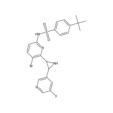 CC(C)(C)c1ccc(S(=O)(=O)Nc2ccc(Br)c(C3NC3c3cncc(F)c3)n2)cc1